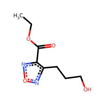 CCOC(=O)c1nonc1CCCO